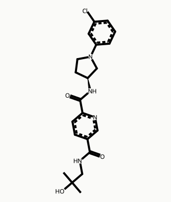 CC(C)(O)CNC(=O)c1ccc(C(=O)N[C@H]2CCN(c3cccc(Cl)c3)C2)nc1